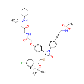 CC(C)(C)[Si](C)(C)O[C@@H](CS[C@H]1C(=O)N(c2ccc(C#CCNS(C)(=O)=O)cc2)[C@@H]1c1ccc(OCC(=O)NCC(=O)C[C@@H](NC2CCCCC2)C(=O)O)cc1)c1ccc(F)cc1